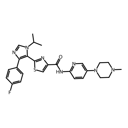 CC(C)n1cnc(-c2ccc(F)cc2)c1-c1nc(C(=O)Nc2ccc(N3CCN(C)CC3)cn2)cs1